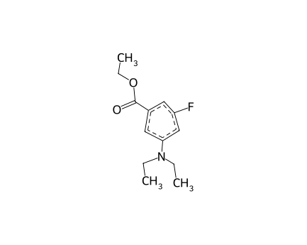 CCOC(=O)c1cc(F)cc(N(CC)CC)c1